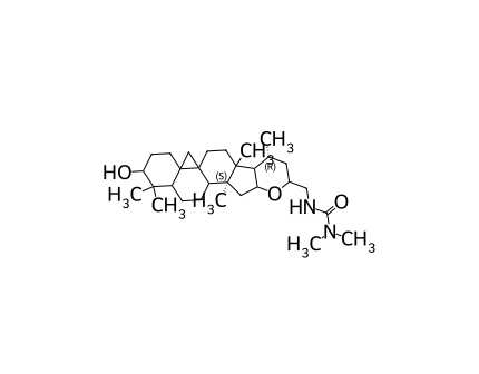 C[C@@H]1CC(CNC(=O)N(C)C)OC2C[C@@]3(C)C4CCC5C(C)(C)C(O)CCC56CC46CCC3(C)C21